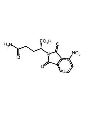 NC(=O)CC[C@@H](C(=O)O)N1C(=O)c2cccc([N+](=O)[O-])c2C1=O